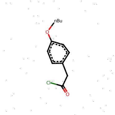 CCCCOc1ccc(CC(=O)Cl)cc1